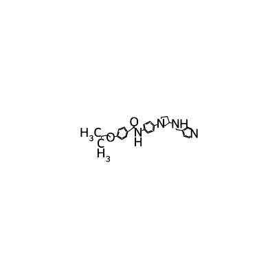 CC(C)COc1ccc(C(=O)Nc2ccc(N3CCC(NCc4ccncc4)C3)cc2)cc1